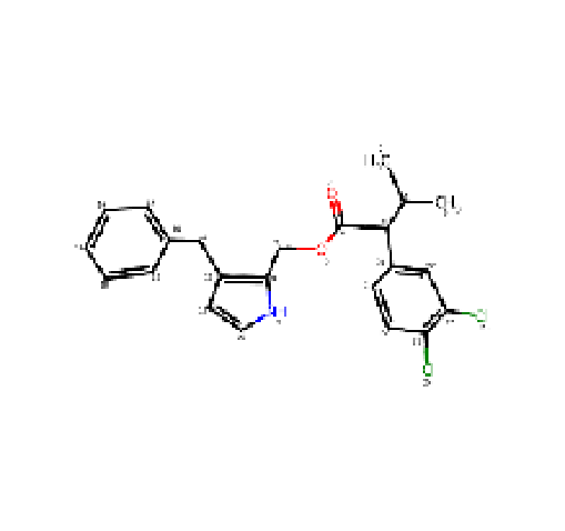 CC(C)C(C(=O)OCc1[nH]ccc1Cc1ccccc1)c1ccc(Cl)c(Cl)c1